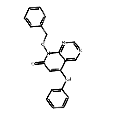 O=c1cc(Nc2ccccc2)c2cncnc2n1OCc1ccccc1